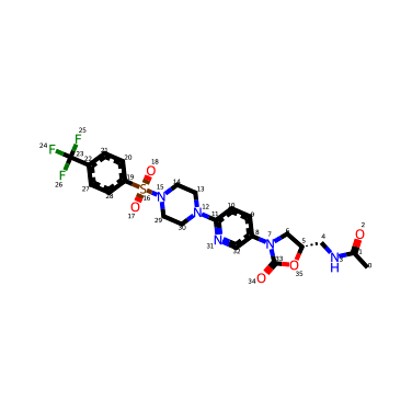 CC(=O)NC[C@H]1CN(c2ccc(N3CCN(S(=O)(=O)c4ccc(C(F)(F)F)cc4)CC3)nc2)C(=O)O1